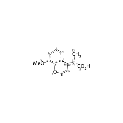 COc1cccc2c1OC=C[C@@H]2[C@H](C)C(=O)O